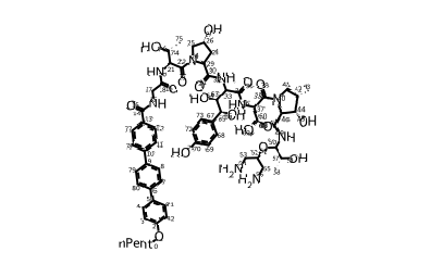 CCCCCOc1ccc(-c2ccc(-c3ccc(C(=O)NCC(=O)NC(C(=O)N4C[C@H](O)CC4C(=O)NC(C(=O)NC(C(=O)N4C[C@H](C)[C@H](O)C4C(=O)NC(OC(CN)CN)[C@@H](C)O)[C@@H](C)O)[C@H](O)[C@@H](O)c4ccc(O)cc4)[C@@H](C)O)cc3)cc2)cc1